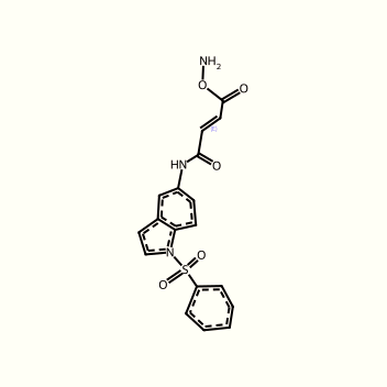 NOC(=O)/C=C/C(=O)Nc1ccc2c(ccn2S(=O)(=O)c2ccccc2)c1